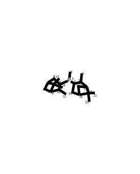 CC1C(P(C)C2CC3CC(C2C)C3(C)C)CC2CC1C2(C)C